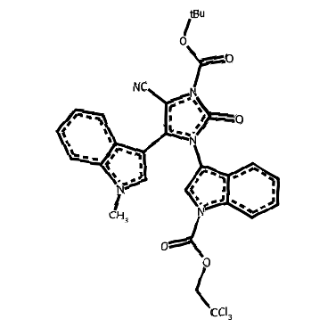 Cn1cc(-c2c(C#N)n(C(=O)OC(C)(C)C)c(=O)n2-c2cn(C(=O)OCC(Cl)(Cl)Cl)c3ccccc23)c2ccccc21